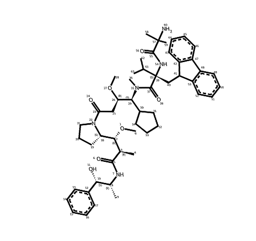 CO[C@H]([C@@H](C)C(=O)N[C@H](C)[C@@H](O)c1ccccc1)[C@@H]1CCCN1C(=O)C[C@@H](OC)[C@H](C1CCCC1)N(C)C(=O)[C@@](CC1c2ccccc2-c2ccccc21)(NC(=O)C(C)(C)N)C(C)C